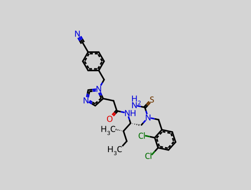 CC[C@H](C)[C@@H](CN(Cc1cccc(Cl)c1Cl)C(N)=S)NC(=O)Cc1cncn1Cc1ccc(C#N)cc1